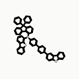 c1ccc(C2(c3ccccc3)c3ccccc3-c3c(N(c4ccc(-c5ccc(-c6ccc7oc8ccccc8c7c6)cc5)cc4)c4cccc5c4sc4ccccc45)cccc32)cc1